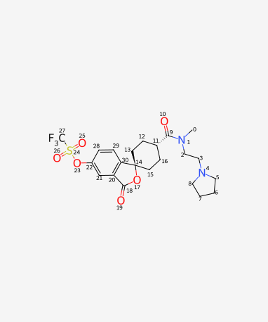 CN(CCN1CCCC1)C(=O)[C@H]1CC[C@@]2(CC1)OC(=O)c1cc(OS(=O)(=O)C(F)(F)F)ccc12